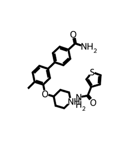 Cc1ccc(-c2ccc(C(N)=O)cc2)cc1OC1CCNCC1.NC(=O)c1ccsc1